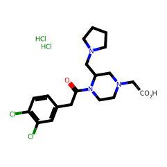 Cl.Cl.O=C(O)CN1CCN(C(=O)Cc2ccc(Cl)c(Cl)c2)C(CN2CCCC2)C1